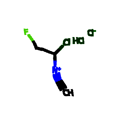 C#[N+]C(Cl)CF.Cl.[Cl-]